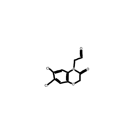 O=[C]CN1C(=O)COc2cc(Cl)c(Cl)cc21